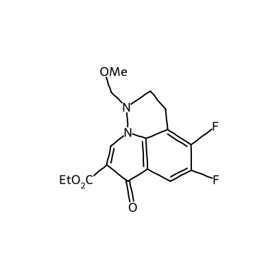 CCOC(=O)c1cn2c3c(c(F)c(F)cc3c1=O)CCN2COC